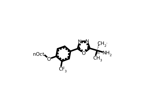 [CH2][C@@](C)(N)c1nnc(-c2ccc(OCCCCCCCC)c(C(F)(F)F)c2)o1